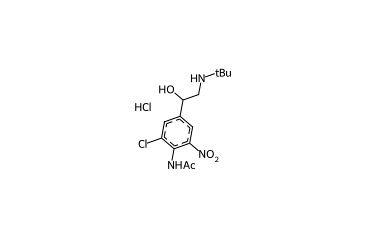 CC(=O)Nc1c(Cl)cc(C(O)CNC(C)(C)C)cc1[N+](=O)[O-].Cl